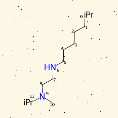 CC(C)CCCCCNCCN(C)C(C)C